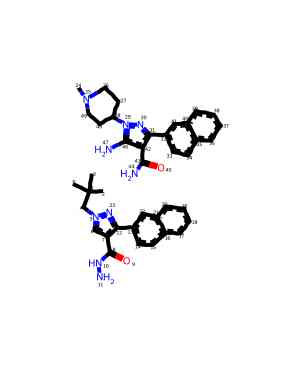 CC(C)(C)Cn1cc(C(=O)NN)c(-c2ccc3ccccc3c2)n1.CN1CCC(n2nc(-c3ccc4ccccc4c3)c(C(N)=O)c2N)CC1